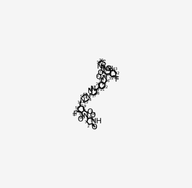 O=C1CCC(N2C(=O)c3cc(CN4CCN(c5ccc(-c6ccc7c(c6)C(=O)N(C(C(=O)Nc6nccs6)c6cc(F)ccc6O)C7)nn5)CC4)cc(F)c3C2=O)C(=O)N1